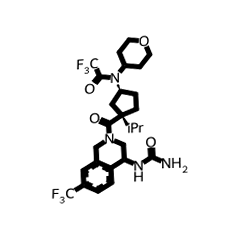 CC(C)[C@]1(C(=O)N2Cc3cc(C(F)(F)F)ccc3C(NC(N)=O)C2)CC[C@@H](N(C(=O)C(F)(F)F)C2CCOCC2)C1